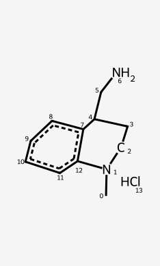 CN1CCC(CN)c2ccccc21.Cl